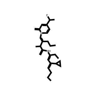 C=C(N/C(=C/C(=C/CCC)C1CC1)CC)C(C)/C(=C/N1C=CC(C(C)F)=CC1=C)CCC